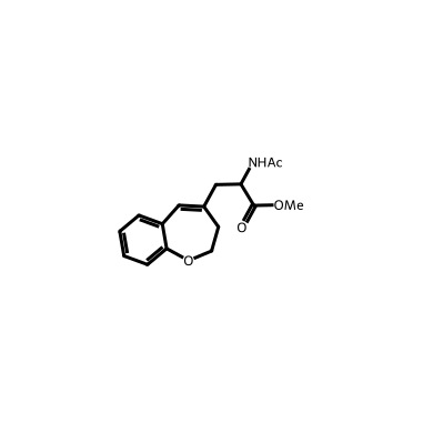 COC(=O)C(CC1=Cc2ccccc2OCC1)NC(C)=O